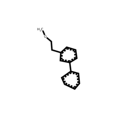 COCCc1[c]ccc(-c2ccccc2)c1